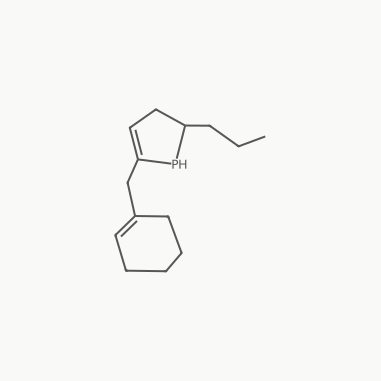 CCCC1CC=C(CC2=CCCCC2)P1